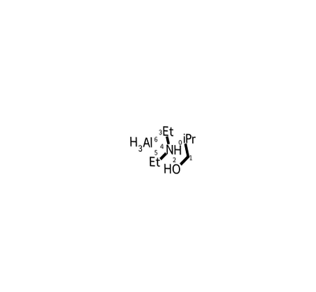 CC(C)CO.CCNCC.[AlH3]